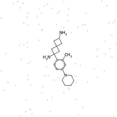 Cc1cc(N2CCCCC2)ccc1C1(N)CC2(CC(N)C2)C1